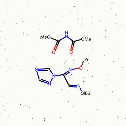 CC(C)CON=CC(=NOC(C)C)n1cncn1.COC(=O)NC(=O)OC